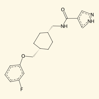 O=C(NC[C@H]1CC[C@@H](COc2cccc(F)c2)CC1)c1cn[nH]c1